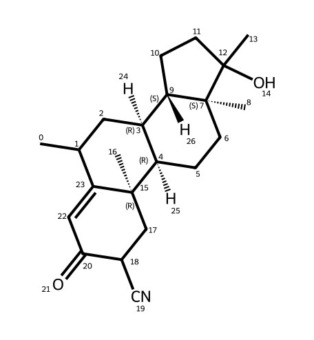 CC1C[C@@H]2[C@@H](CC[C@@]3(C)[C@H]2CCC3(C)O)[C@@]2(C)CC(C#N)C(=O)C=C12